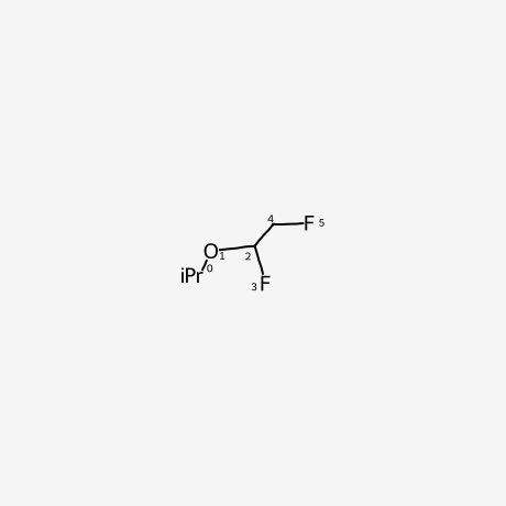 [CH2]C(C)OC(F)CF